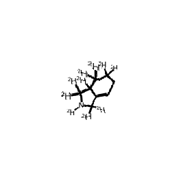 [2H]N1C([2H])([2H])C2=CCC([2H])([2H])C([2H])([2H])C2([2H])C1([2H])[2H]